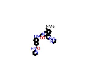 CNCc1ccccc1CN(CC(=O)Nc1ccc2c(c1)C[C@H](C(=O)Nc1ccccn1)C2)C(=O)C1(C)CCN(c2ncccn2)CC1